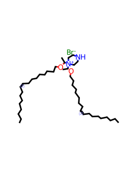 CCCCCCCC/C=C\CCCCCCCCOC(C)[N+]1(C(C)OCCCCCCCC/C=C\CCCCCCCC)CCNCC1.[Br-]